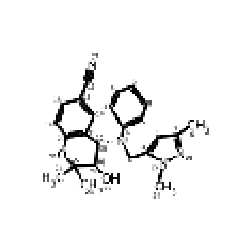 Cc1cc(CN(c2ccccc2)[C@H]2c3cc(C#N)ccc3OC(C)(C)[C@@H]2O)n(C)n1